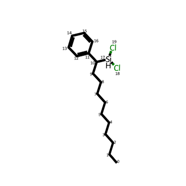 CCCCCCCCCCC(c1ccccc1)[SiH](Cl)Cl